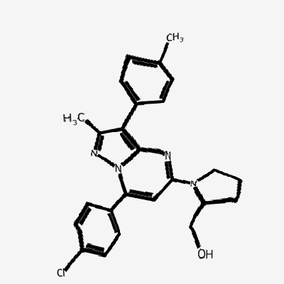 Cc1ccc(-c2c(C)nn3c(-c4ccc(Cl)cc4)cc(N4CCCC4CO)nc23)cc1